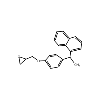 CC(c1ccc(OCC2CO2)cc1)c1cccc2ccccc12